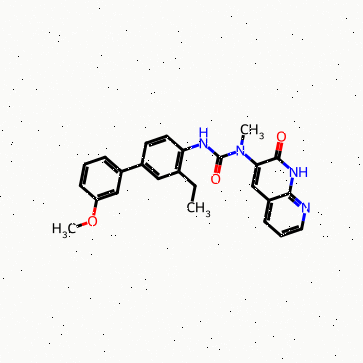 CCc1cc(-c2cccc(OC)c2)ccc1NC(=O)N(C)c1cc2cccnc2[nH]c1=O